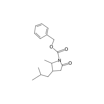 CC(C)CC1CC(=O)N(C(=O)OCc2ccccc2)C1C